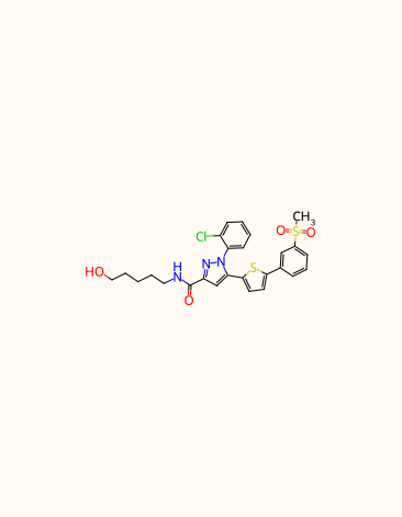 CS(=O)(=O)c1cccc(-c2ccc(-c3cc(C(=O)NCCCCCO)nn3-c3ccccc3Cl)s2)c1